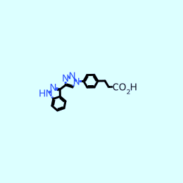 O=C(O)CCc1ccc(-n2cc(-c3n[nH]c4ccccc34)nn2)cc1